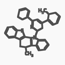 CC1CC=CC=C1C1=CC(C2=CC=CCC2)=NC(n2c3c(c4ccccc42)C(C)Cc2c-3sc3ccccc23)C1